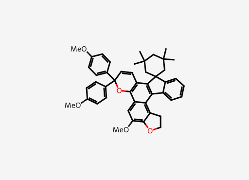 COc1ccc(C2(c3ccc(OC)cc3)C=Cc3c4c(c5c6c(c(OC)cc5c3O2)OCC6)-c2ccccc2C42CC(C)(C)CC(C)(C)C2)cc1